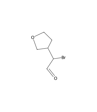 O=CC(Br)C1CCOC1